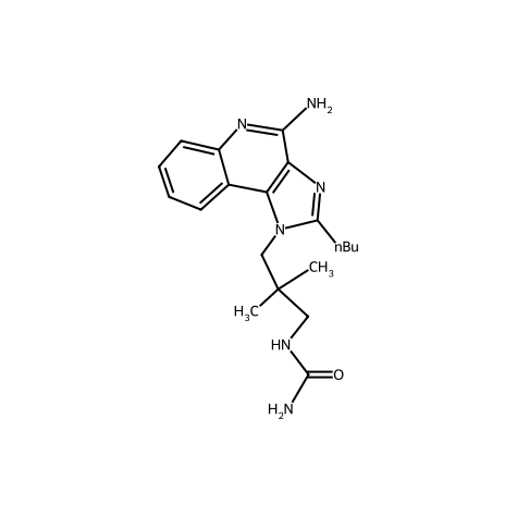 CCCCc1nc2c(N)nc3ccccc3c2n1CC(C)(C)CNC(N)=O